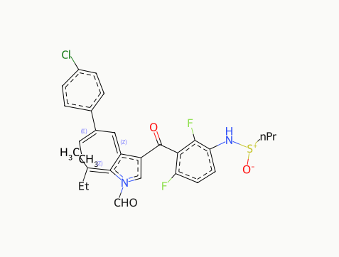 C\C=C(/C=c1/c(C(=O)c2c(F)ccc(N[S+]([O-])CCC)c2F)cn(C=O)/c1=C(/C)CC)c1ccc(Cl)cc1